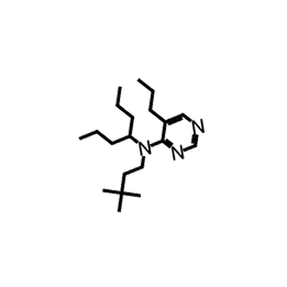 CCCc1cncnc1N(CCC(C)(C)C)C(CCC)CCC